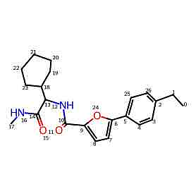 CCc1ccc(-c2ccc(C(=O)NC(C(=O)NC)C3CCCCC3)o2)cc1